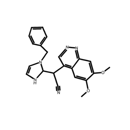 COc1cc2nncc(C(C#N)C3NC=CN3Cc3ccccc3)c2cc1OC